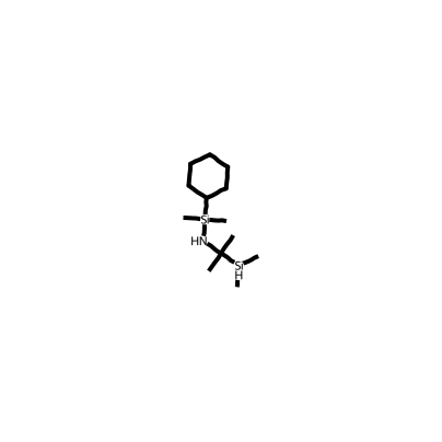 C[SiH](C)C(C)(C)N[Si](C)(C)C1CCCCC1